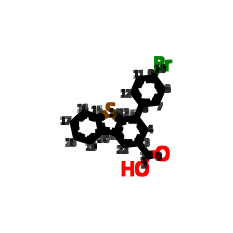 O=C(O)c1cc(-c2ccc(Br)cc2)c2sc3ccccc3c2c1